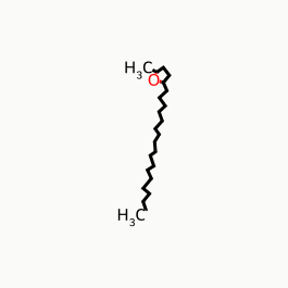 CCCCCCCCCCCCCCCCCCC1CCC(C)O1